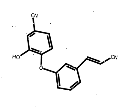 N#C/C=C/c1cccc(Oc2ccc(C#N)cc2O)c1